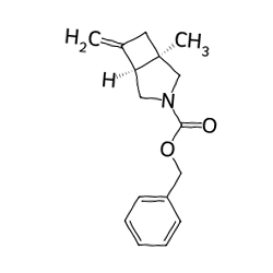 C=C1C[C@@]2(C)CN(C(=O)OCc3ccccc3)C[C@@H]12